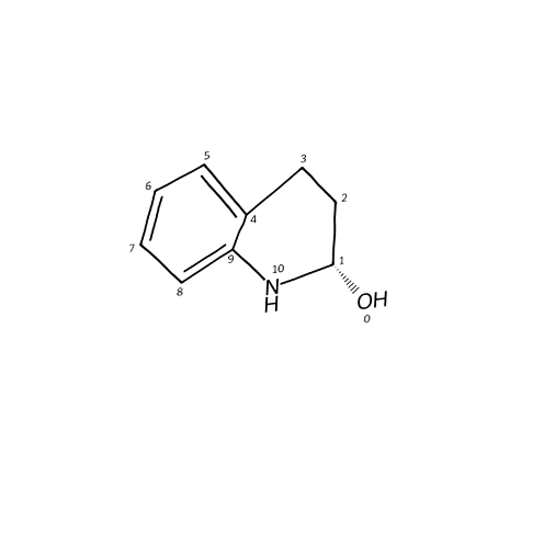 O[C@H]1CCc2ccccc2N1